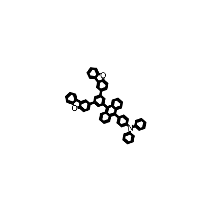 c1ccc(N(c2ccccc2)c2ccc(-c3c4ccccc4c(-c4cc(-c5ccc6oc7ccccc7c6c5)cc(-c5ccc6oc7ccccc7c6c5)c4)c4ccccc34)cc2)cc1